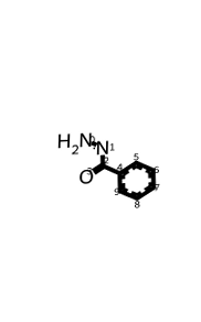 N[N]C(=O)c1ccccc1